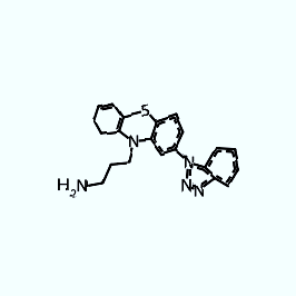 NCCCN1C2=C(C=CCC2)Sc2ccc(-n3nnc4ccccc43)cc21